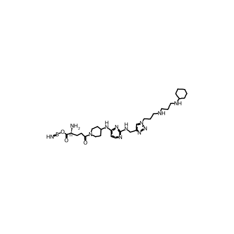 N=BOC(=O)[C@@H](N)CCC(=O)N1CCC(Nc2ccnc(NCc3cn(CCCNCCCNC4CCCCC4)nn3)n2)CC1